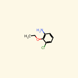 CCOc1c(N)cccc1Cl